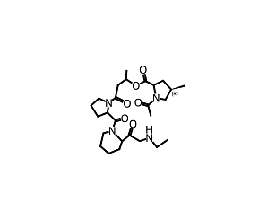 CCNCC(=O)C1CCCCN1C(=O)C1CCCN1C(=O)CC(C)OC(=O)C1C[C@@H](C)CN1C(C)=O